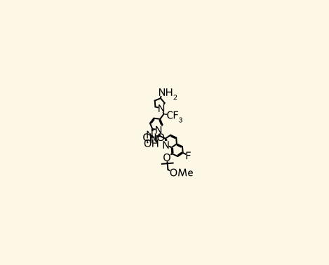 COCC(C)(C)Oc1cc(F)cc2ccc(-c3nnc4ccc([C@@H](N5CCC(N)C5)C(F)(F)F)cn34)nc12.O=CO